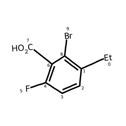 CCc1ccc(F)c(C(=O)O)c1Br